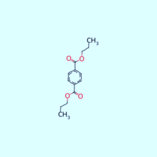 CCCOC(=O)c1ccc(C(=O)OCCC)cc1